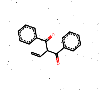 C=CC(C(=O)c1ccccc1)C(=O)c1ccccc1